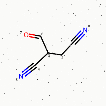 N#CCC(C#N)C=O